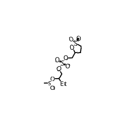 CCC(COS(=O)(=O)OCC1CCS(=O)(=O)O1)OS(C)=O